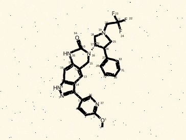 COc1ccc(-c2n[nH]c3cc4c(cc23)CN([C@@H]2CN(CC(F)(F)F)CC2c2ccccc2)C(=O)N4)cn1